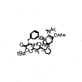 CC[C@H](C)[C@@H]([C@@H](CC(=O)N1CCC[C@H]1[C@H](OC)[C@@H](C)C(=O)N[C@@H](Cc1ccccc1)C(=O)OC(C)(C)C)OC)N(C)C(C)=O